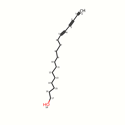 C#CC#CC#CCCCCCCCCCCCCO